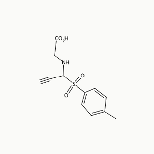 C#CC(NCC(=O)O)S(=O)(=O)c1ccc(C)cc1